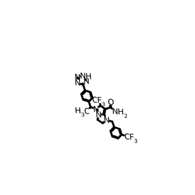 CC(c1ccc(-c2nn[nH]n2)cc1)N1C(C(F)(F)F)C(C(N)=O)=C2N(Cc3cccc(C(F)(F)F)c3)CCN21